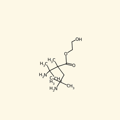 CC(C)(N)CC(C)(C(=O)OCCO)C(C)(C)N